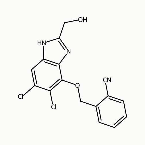 N#Cc1ccccc1COc1c(Cl)c(Cl)cc2[nH]c(CO)nc12